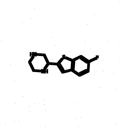 Fc1ccc2cc(C3CNCCN3)sc2c1